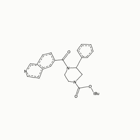 CC(C)(C)OC(=O)N1CCN(C(=O)c2ccc3cnccc3c2)C(c2ccccc2)C1